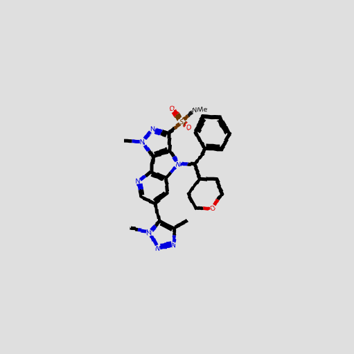 CNS(=O)(=O)c1nn(C)c2c3ncc(-c4c(C)nnn4C)cc3n(C(c3ccccc3)C3CCOCC3)c12